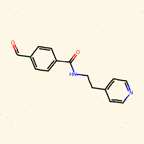 O=Cc1ccc(C(=O)NCCc2ccncc2)cc1